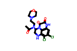 CC(=O)N(CCN1CCOCC1)C1CNc2c(Cl)c(Cl)cc3[nH]c(=O)c(=O)n1c23